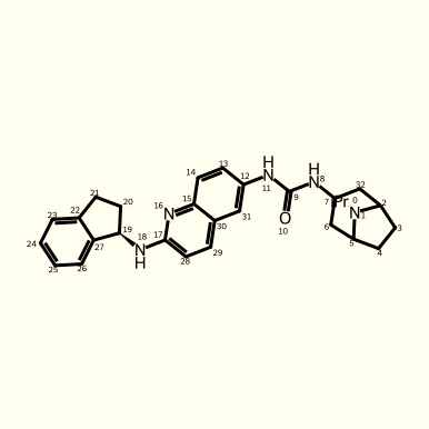 CC(C)N1C2CCC1CC(NC(=O)Nc1ccc3nc(N[C@@H]4CCc5ccccc54)ccc3c1)C2